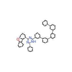 c1ccc(-c2cccc(-c3cccc(-c4cccc(-c5cccc(C6=NC(c7cccc8oc9ccccc9c78)=NC(c7ccccc7)N6)c5)c4)c3)c2)cc1